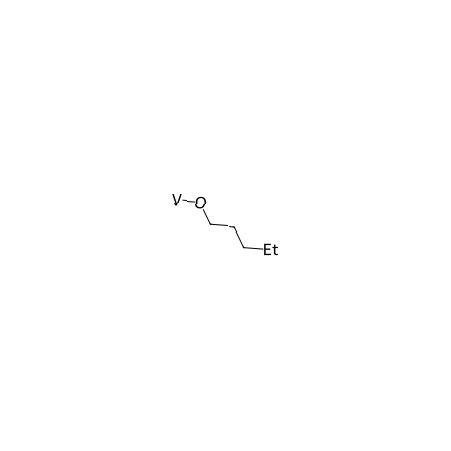 CCCCC[O][V]